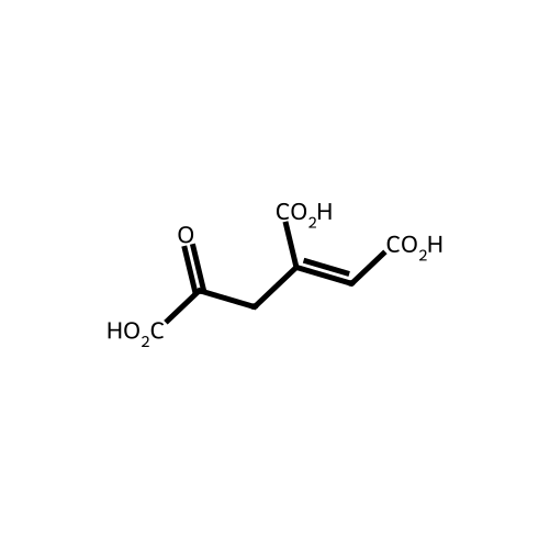 O=C(O)/C=C(/CC(=O)C(=O)O)C(=O)O